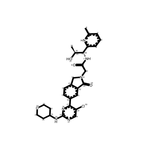 Cc1cccc([C@H](NC(=O)CN2Cc3ccc(-c4nc(NC5CCOCC5)ncc4Cl)cc3C2=O)[C@H](C)O)n1